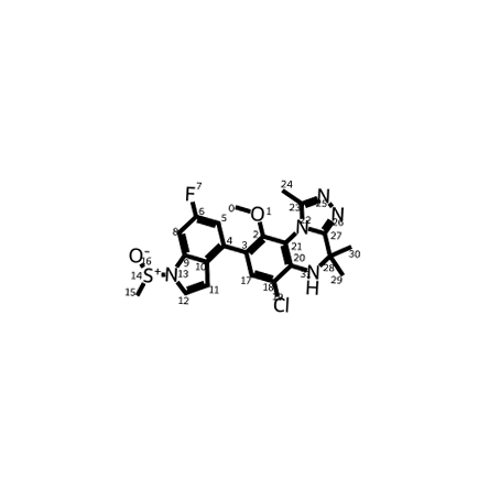 COc1c(-c2cc(F)cc3c2ccn3[S+](C)[O-])cc(Cl)c2c1-n1c(C)nnc1C(C)(C)N2